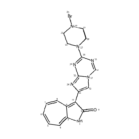 O=c1[nH]c2cccccc-2c1-c1cn2cnc(N3CCN(Br)CC3)nc2n1